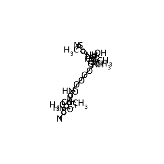 CCc1cc2c(cc1N1CCC(NC(=O)CCOCCOCCOCCOCCC(=O)NC(C(=O)N3C[C@H](O)C[C@H]3C(=O)NCc3ccc(-c4scnc4C)cc3)C(C)(C)C)CC1)C(C)(C)c1[nH]c3cc(C#N)ccc3c1C2=O